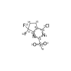 CS(=O)(=O)c1nc(Cl)c2c(n1)C(F)(F)CC2